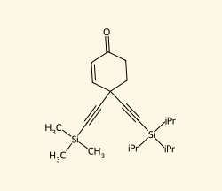 CC(C)[Si](C#CC1(C#C[Si](C)(C)C)C=CC(=O)CC1)(C(C)C)C(C)C